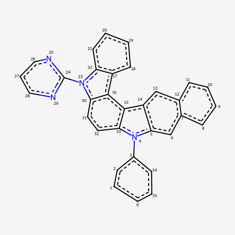 c1ccc(-n2c3cc4ccccc4cc3c3c4c5ccccc5n(-c5ncccn5)c4ccc32)cc1